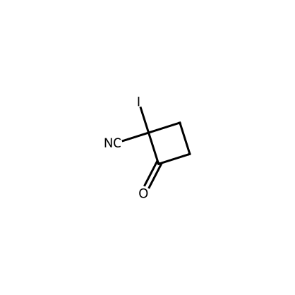 N#CC1(I)CCC1=O